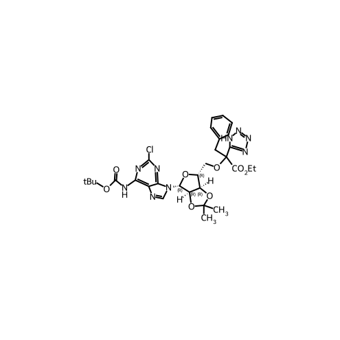 CCOC(=O)C(Cc1ccccc1)(OC[C@H]1O[C@@H](n2cnc3c(NC(=O)OC(C)(C)C)nc(Cl)nc32)[C@@H]2OC(C)(C)O[C@@H]21)c1nnn[nH]1